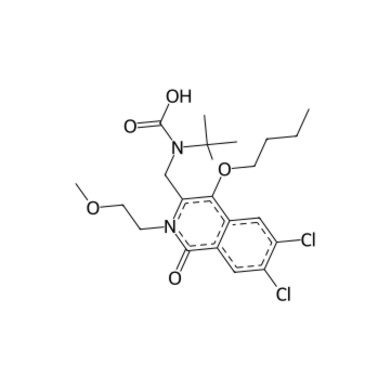 CCCCOc1c(CN(C(=O)O)C(C)(C)C)n(CCOC)c(=O)c2cc(Cl)c(Cl)cc12